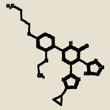 CCCCOc1ccc(-c2cc(-c3ncc(C4CC4)s3)c(-c3nnc[nH]3)c(=O)[nH]2)c(OCC)c1